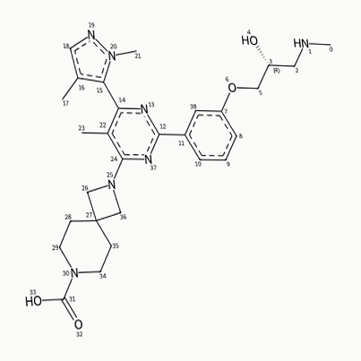 CNC[C@@H](O)COc1cccc(-c2nc(-c3c(C)cnn3C)c(C)c(N3CC4(CCN(C(=O)O)CC4)C3)n2)c1